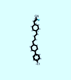 CCc1ccc(C2CCC(CCCCC3CCC(C=C(F)C#N)CC3)CC2)cc1